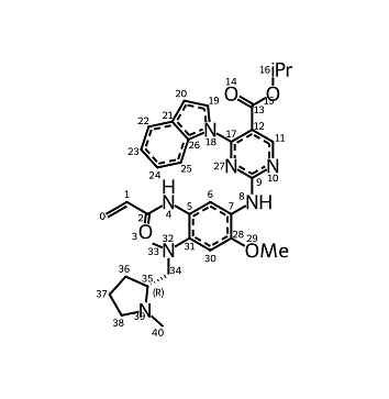 C=CC(=O)Nc1cc(Nc2ncc(C(=O)OC(C)C)c(-n3ccc4ccccc43)n2)c(OC)cc1N(C)C[C@H]1CCCN1C